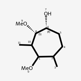 COC1C(C)CC[C@@H](O)[C@@H](OC)C1C